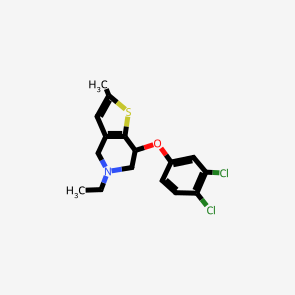 CCN1Cc2cc(C)sc2C(Oc2ccc(Cl)c(Cl)c2)C1